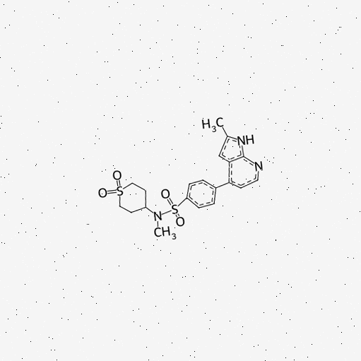 Cc1cc2c(-c3ccc(S(=O)(=O)N(C)C4CCS(=O)(=O)CC4)cc3)ccnc2[nH]1